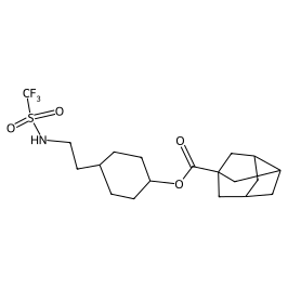 O=C(OC1CCC(CCNS(=O)(=O)C(F)(F)F)CC1)C12CC3CC(C1)C(C3)C2